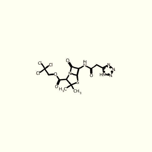 CC1(C)SC2C(NC(=O)Cc3nnn[nH]3)C(=O)N2C1C(=O)OCC(Cl)(Cl)Cl